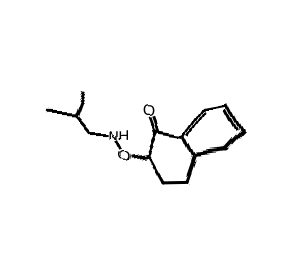 CC(C)CNOC1CCC2CC=CC=C2C1=O